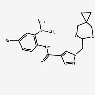 CN(C)c1cc(Br)ccc1NC(=O)c1cn(CC2OCC3(CC3)CO2)nn1